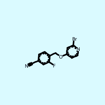 N#Cc1ccc(COc2ccnc(Br)c2)c(F)c1